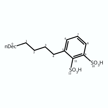 CCCCCCCCCCCCCCc1cccc(S(=O)(=O)O)c1S(=O)(=O)O